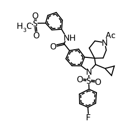 CC(=O)N1CCC2(CC1)c1cc(C(=O)Nc3cccc(S(C)(=O)=O)c3)ccc1N(S(=O)(=O)c1ccc(F)cc1)C2C1CC1